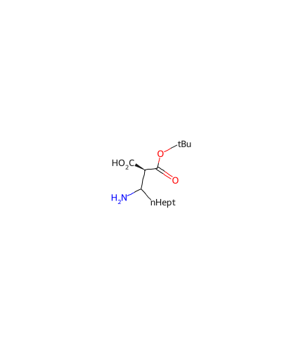 CCCCCCCC(N)[C@@H](C(=O)O)C(=O)OC(C)(C)C